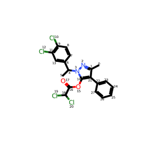 Cc1nn(C(C)c2ccc(Cl)c(Cl)c2)c(OC(=O)C(Cl)Cl)c1-c1ccccc1